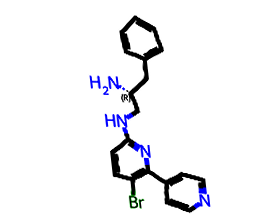 N[C@@H](CNc1ccc(Br)c(-c2ccncc2)n1)Cc1ccccc1